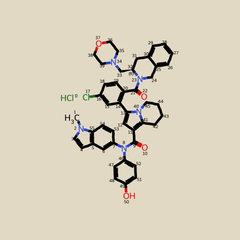 Cl.Cn1ccc2cc(N(C(=O)c3cc(-c4cc(Cl)ccc4C(=O)N4Cc5ccccc5C[C@@H]4CN4CCOCC4)n4c3CCCC4)c3ccc(O)cc3)ccc21